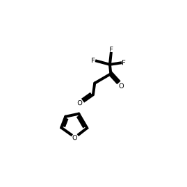 O=CCC(=O)C(F)(F)F.c1ccoc1